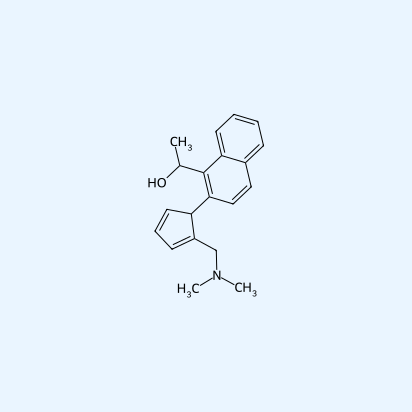 CC(O)c1c(C2C=CC=C2CN(C)C)ccc2ccccc12